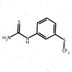 NC(=S)Nc1cccc(SC(F)(F)F)c1